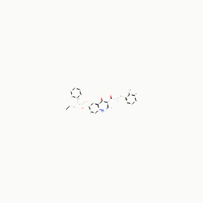 C=CCN(c1ccccc1)S(=O)(=O)c1ccc2[nH]cc(C(=O)NCc3ccccc3Cl)c(=O)c2c1